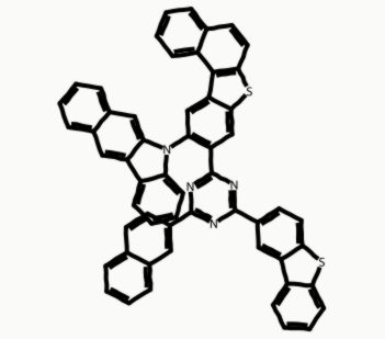 c1ccc2cc(-c3nc(-c4ccc5sc6ccccc6c5c4)nc(-c4cc5sc6ccc7ccccc7c6c5cc4-n4c5ccccc5c5cc6ccccc6cc54)n3)ccc2c1